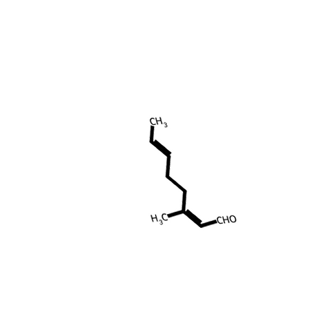 CC=CCCC(C)=CC=O